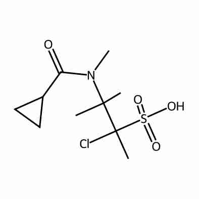 CN(C(=O)C1CC1)C(C)(C)C(C)(Cl)S(=O)(=O)O